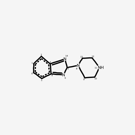 c1ccc2c(c1)=NC(N1CCNCC1)N=2